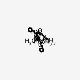 CCN(CC)CCCS(=O)(=O)N[C@H](CCc1ccccc1)c1nc(CNC(=O)OCc2ccccc2)n(CC)n1